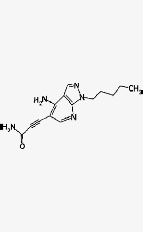 CCCCCn1ncc2c(N)c(C#CC(N)=O)cnc21